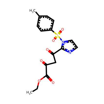 CCOC(=O)C(=O)CC(=O)c1nccn1S(=O)(=O)c1ccc(C)cc1